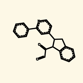 O=CC(=O)C1c2ccccc2CC1c1ccnc(-c2ccccc2)c1